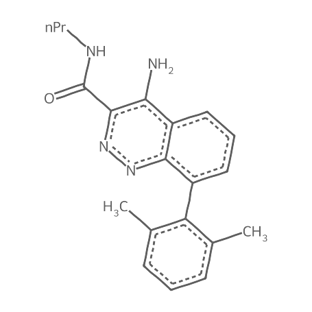 CCCNC(=O)c1nnc2c(-c3c(C)cccc3C)cccc2c1N